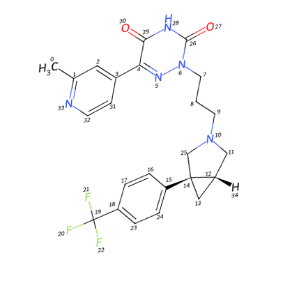 Cc1cc(-c2nn(CCCN3C[C@@H]4C[C@]4(c4ccc(C(F)(F)F)cc4)C3)c(=O)[nH]c2=O)ccn1